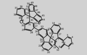 C=c1cccc/c1=C1/C(=C\C)C2(c3ccccc31)c1ccccc1-c1cc(-c3ccc4c(c3)C3(c5ccccc5O4)c4ccccc4-c4ccccc43)ccc12